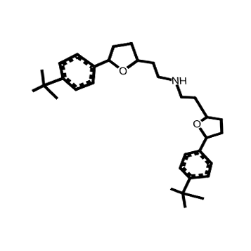 CC(C)(C)c1ccc(C2CCC(CCNCCC3CCC(c4ccc(C(C)(C)C)cc4)O3)O2)cc1